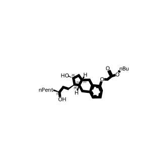 CCCCC[C@H](O)CC[C@@H]1[C@H]2Cc3cccc(OCC(=O)OCCCC)c3C[C@H]2C[C@H]1O